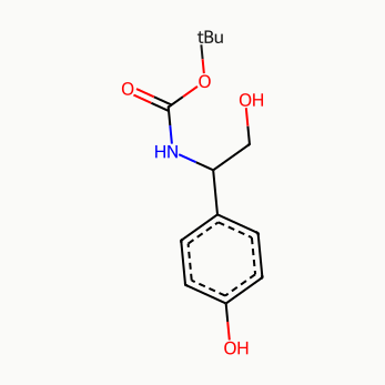 CC(C)(C)OC(=O)NC(CO)c1ccc(O)cc1